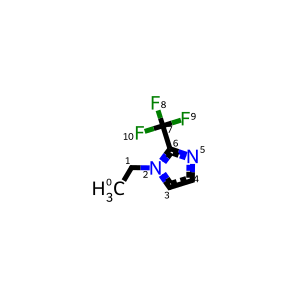 CCn1ccnc1C(F)(F)F